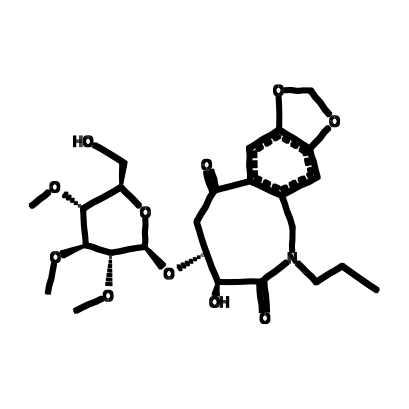 CCCN1Cc2cc3c(cc2C(=O)C[C@@H](O[C@@H]2O[C@H](CO)[C@@H](OC)[C@H](OC)[C@H]2OC)[C@H](O)C1=O)OCO3